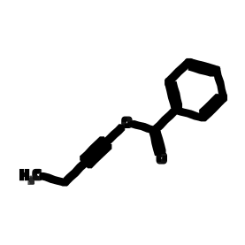 CCC#COC(=O)c1ccccc1